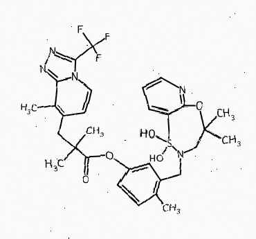 Cc1ccc(OC(=O)C(C)(C)Cc2ccn3c(C(F)(F)F)nnc3c2C)cc1CN1CC(C)(C)Oc2ncccc2S1(O)O